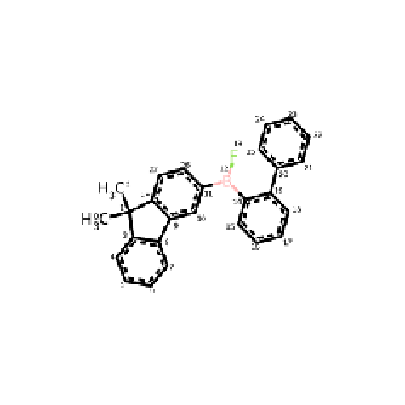 CC1(C)c2ccccc2-c2cc(B(F)c3ccccc3-c3ccccc3)ccc21